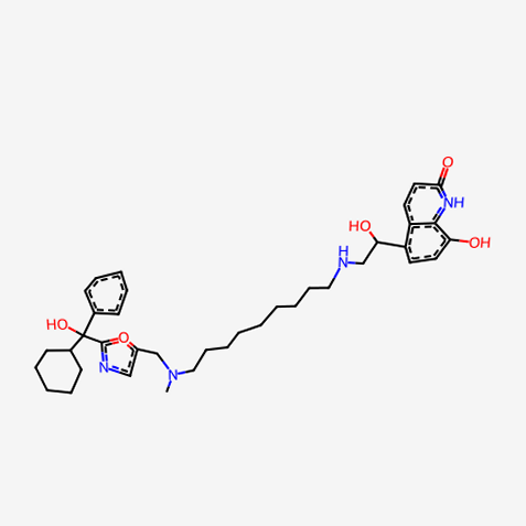 CN(CCCCCCCCCNCC(O)c1ccc(O)c2[nH]c(=O)ccc12)Cc1cnc(C(O)(c2ccccc2)C2CCCCC2)o1